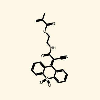 C=C(C)C(=O)OCCNC(=O)C(C#N)=C1c2ccccc2S(=O)(=O)c2ccccc21